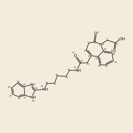 O=C(O)CN1C(=O)CC=C(CC(=O)NCCCCCNc2nc3ccccc3[nH]2)c2ccccc21